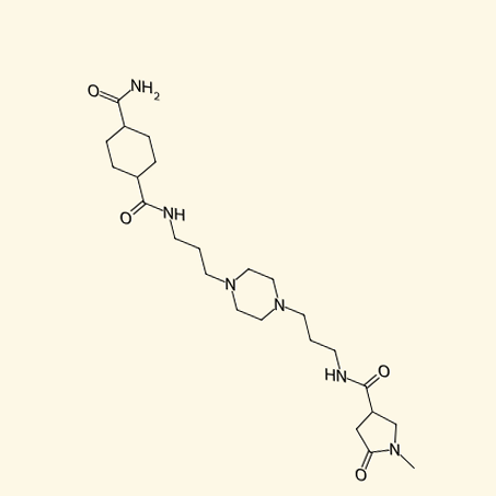 CN1CC(C(=O)NCCCN2CCN(CCCNC(=O)C3CCC(C(N)=O)CC3)CC2)CC1=O